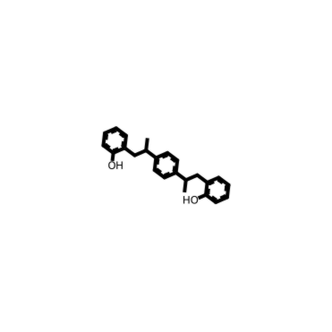 CC(Cc1ccccc1O)c1ccc(C(C)Cc2ccccc2O)cc1